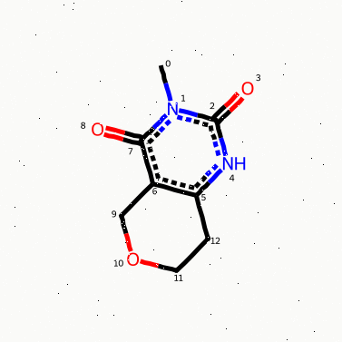 Cn1c(=O)[nH]c2c(c1=O)COCC2